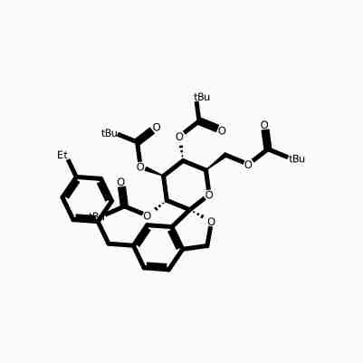 CCc1ccc(Cc2ccc3c(c2)[C@]2(OC3)O[C@H](COC(=O)C(C)(C)C)[C@@H](OC(=O)C(C)(C)C)[C@H](OC(=O)C(C)(C)C)[C@H]2OC(=O)C(C)(C)C)cc1